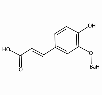 O=C(O)/C=C/c1ccc(O)c([O][BaH])c1